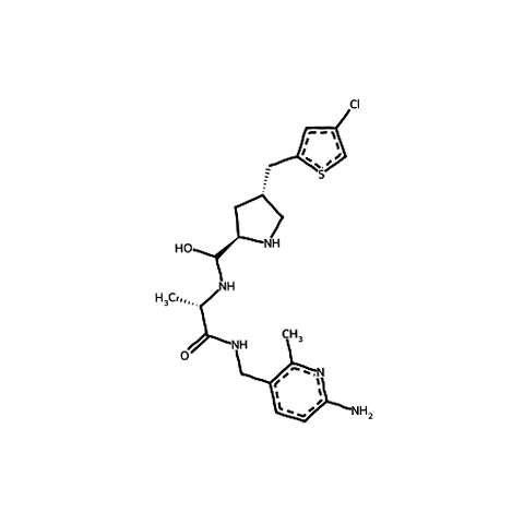 Cc1nc(N)ccc1CNC(=O)[C@H](C)NC(O)[C@H]1C[C@H](Cc2cc(Cl)cs2)CN1